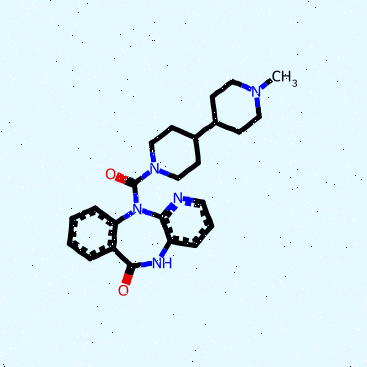 CN1CCC(C2CCN(C(=O)N3c4ccccc4C(=O)Nc4cccnc43)CC2)CC1